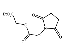 CCOC(=O)COC(=O)ON1C(=O)CCC1=O